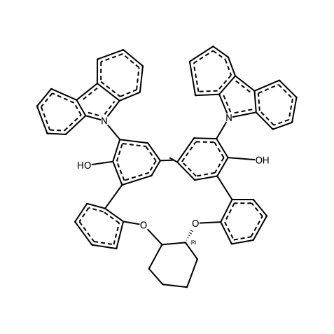 Cc1cc(-c2ccccc2OC2CCCC[C@H]2Oc2ccccc2-c2cc(C)cc(-n3c4ccccc4c4ccccc43)c2O)c(O)c(-n2c3ccccc3c3ccccc32)c1